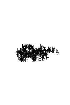 CCNC(=O)[C@@H]1CCCN1C(=O)C(CCCN=C(N)N)NC(=O)C(CC(C)C)NC(=O)C(CC1=CN=C2CC=CC=C12)NC(=O)C(Cc1ccc(O)cc1)NC(=O)C(CO)NC(=O)C(Cc1c[nH]c2ccccc12)NC(=O)C(Cc1cnc[nH]1)NC(=O)[C@@H]1CCC(=O)N1